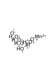 CCO.O.O.O.O.[Cl-].[Cl-].[Mn+2]